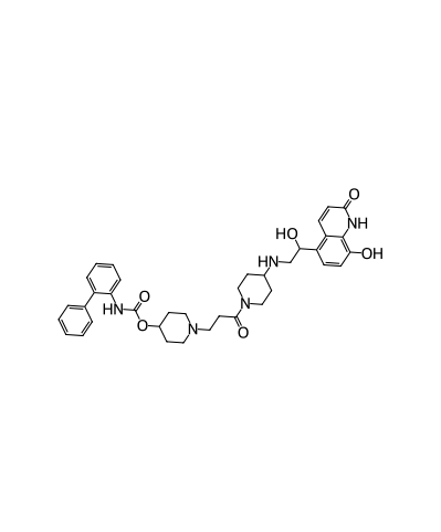 O=C(Nc1ccccc1-c1ccccc1)OC1CCN(CCC(=O)N2CCC(NCC(O)c3ccc(O)c4[nH]c(=O)ccc34)CC2)CC1